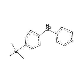 C[Si](C)(C)c1ccc([SiH2]c2ccccc2)cc1